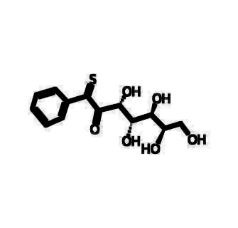 O=C(C(=S)c1ccccc1)[C@H](O)[C@@H](O)[C@@H](O)[C@H](O)CO